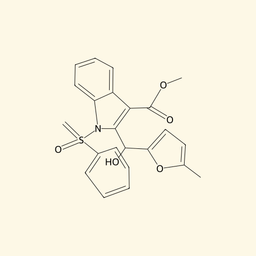 C=S(=O)(c1ccccc1)n1c(C(O)c2ccc(C)o2)c(C(=O)OC)c2ccccc21